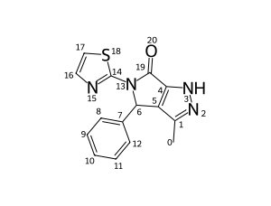 Cc1n[nH]c2c1C(c1ccccc1)N(c1nccs1)C2=O